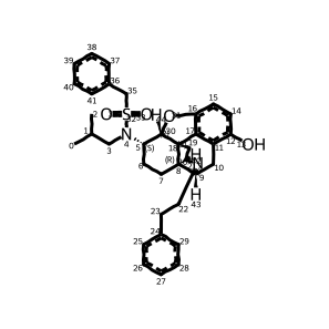 CC(C)CN([C@H]1CC[C@H]2[C@H]3Cc4c(O)ccc5c4[C@@]2(CCN3CCc2ccccc2)[C@H]1O5)S(=O)(=O)Cc1ccccc1